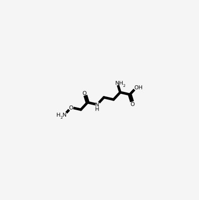 NOCC(=O)NCCC(N)C(=O)O